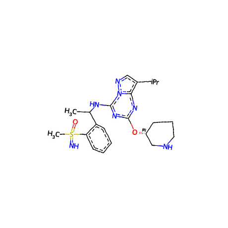 CC(C)c1cnn2c(NC(C)c3ccccc3S(C)(=N)=O)nc(O[C@@H]3CCCNC3)nc12